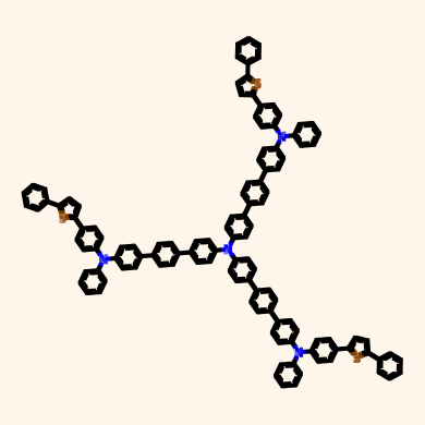 c1ccc(-c2ccc(-c3ccc(N(c4ccccc4)c4ccc(-c5ccc(-c6ccc(N(c7ccc(-c8ccc(-c9ccc(N(c%10ccccc%10)c%10ccc(-c%11ccc(-c%12ccccc%12)s%11)cc%10)cc9)cc8)cc7)c7ccc(-c8ccc(-c9ccc(N(c%10ccccc%10)c%10ccc(-c%11ccc(-c%12ccccc%12)s%11)cc%10)cc9)cc8)cc7)cc6)cc5)cc4)cc3)s2)cc1